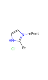 CCCCC[n+]1cc[nH]c1CC.[Cl-]